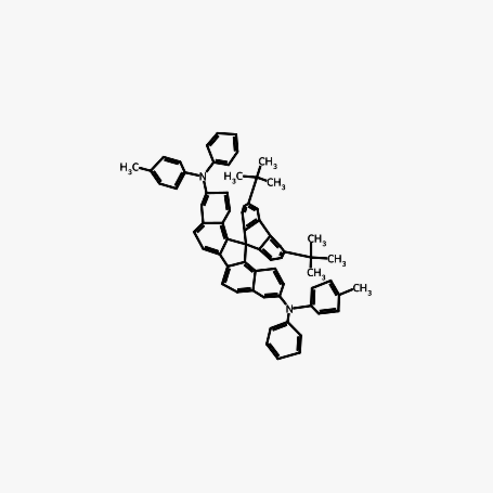 Cc1ccc(N(c2ccccc2)c2ccc3c4c(ccc3c2)-c2ccc3cc(N(c5ccccc5)c5ccc(C)cc5)ccc3c2C42c3ccc(C(C)(C)C)cc3-c3cc(C(C)(C)C)ccc32)cc1